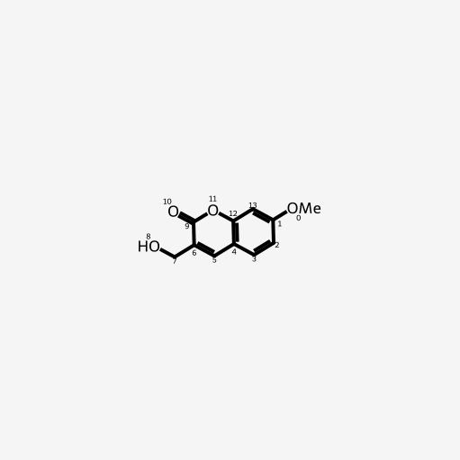 COc1ccc2cc(CO)c(=O)oc2c1